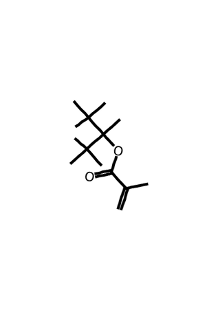 C=C(C)C(=O)OC(C)(C(C)(C)C)C(C)(C)C